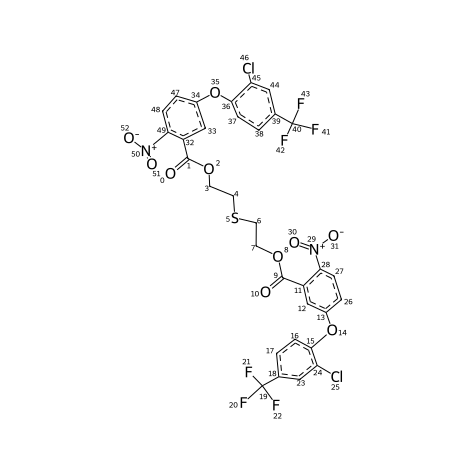 O=C(OCCSCCOC(=O)c1cc(Oc2ccc(C(F)(F)F)cc2Cl)ccc1[N+](=O)[O-])c1cc(Oc2ccc(C(F)(F)F)cc2Cl)ccc1[N+](=O)[O-]